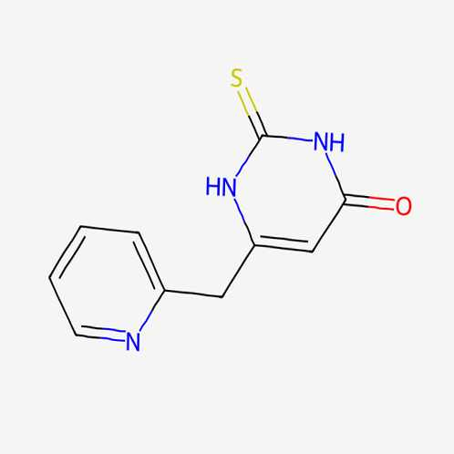 O=c1cc(Cc2ccccn2)[nH]c(=S)[nH]1